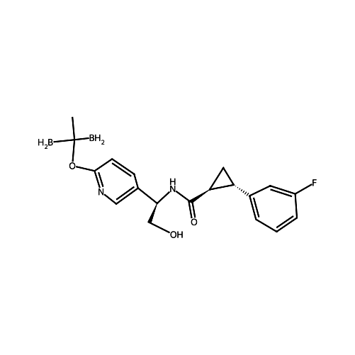 BC(B)(C)Oc1ccc([C@H](CO)NC(=O)[C@H]2C[C@@H]2c2cccc(F)c2)cn1